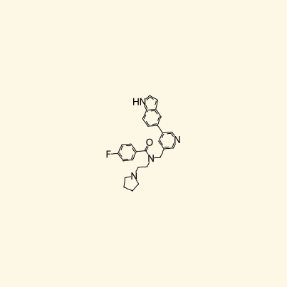 O=C(c1ccc(F)cc1)N(CCN1CCCC1)Cc1cncc(-c2ccc3[nH]ccc3c2)c1